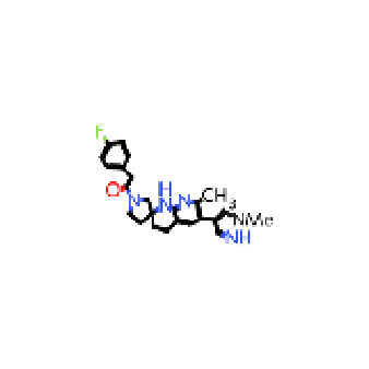 CN/C=C(\C=N)c1cc2c(nc1C)N[C@]1(CC2)CCN(C(=O)Cc2ccc(F)cc2)C1